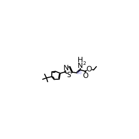 CCOC(=O)/C(N)=C/c1cnc(-c2ccc(C(C)(C)C)cc2)s1